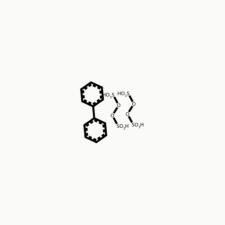 O=S(=O)(O)OOS(=O)(=O)O.O=S(=O)(O)OOS(=O)(=O)O.c1ccc(-c2ccccc2)cc1